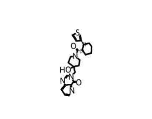 O=C([C@H]1CCCC[C@@H]1c1ccsc1)N1CCC(O)(Cn2cnc3cccnc3c2=O)CC1